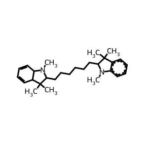 CN1c2ccccc2C(C)(C)C1CCCCCCC1N(C)C2C=CC=CC2C1(C)C